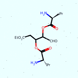 CCOC(=O)CC(OC(=O)[C@@H](N)C(C)C)C(C=O)OC(=O)[C@@H](N)C(C)C